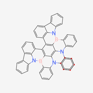 c1ccc(N2c3ccccc3B3c4c(c5c6c(c42)N(c2ccccc2)c2ccccc2B6n2c4ccccc4c4cccc-5c42)-c2cccc4c5ccccc5n3c24)cc1